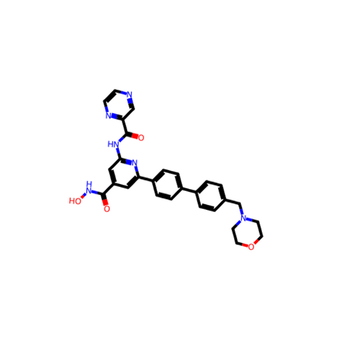 O=C(NO)c1cc(NC(=O)c2cnccn2)nc(-c2ccc(-c3ccc(CN4CCOCC4)cc3)cc2)c1